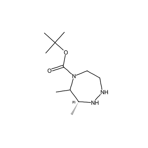 CC1[C@@H](C)NNCCN1C(=O)OC(C)(C)C